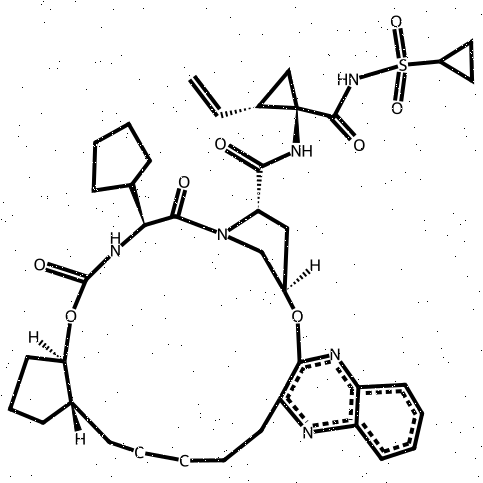 C=C[C@@H]1C[C@]1(NC(=O)[C@@H]1C[C@@H]2CN1C(=O)[C@H](C1CCCC1)NC(=O)O[C@@H]1CCC[C@H]1CCCCCc1nc3ccccc3nc1O2)C(=O)NS(=O)(=O)C1CC1